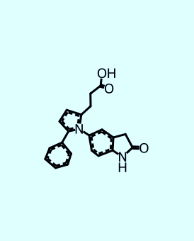 O=C(O)CCc1ccc(-c2ccccc2)n1-c1ccc2c(c1)CC(=O)N2